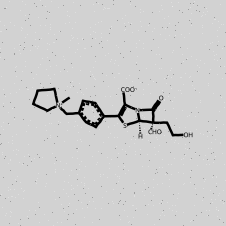 C[N+]1(Cc2ccc(C3=C(C(=O)[O-])N4C(=O)[C@@](C=O)(CCO)[C@H]4S3)cc2)CCCC1